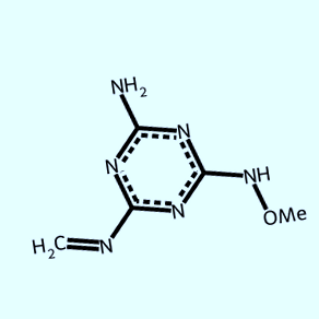 C=Nc1nc(N)nc(NOC)n1